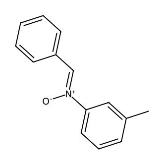 Cc1cccc([N+]([O-])=Cc2ccccc2)c1